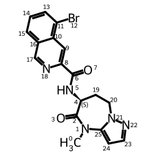 CN1C(=O)[C@@H](NC(=O)c2cc3c(Br)cccc3cn2)CCn2nccc21